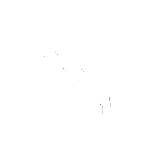 Cc1nc(Oc2ccc(-c3nn[nH]n3)cc2)ccc1CN1CCC(N2C(=O)OCC2c2ccccc2)CC1